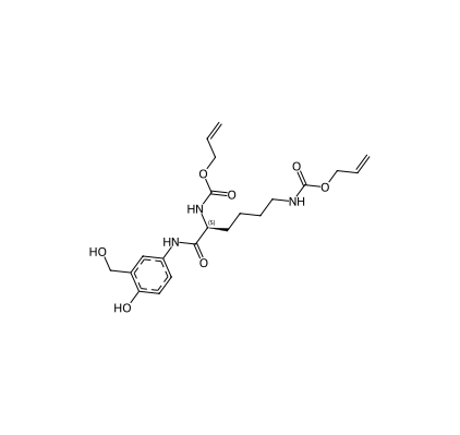 C=CCOC(=O)NCCCC[C@H](NC(=O)OCC=C)C(=O)Nc1ccc(O)c(CO)c1